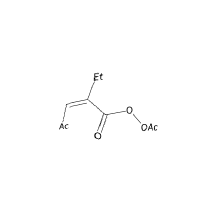 CCC(=CC(C)=O)C(=O)OOC(C)=O